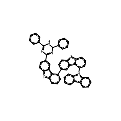 c1ccc(C2=NC(c3ccc4oc5cccc(-c6ccc7sc8cccc(-n9c%10ccccc%10c%10ccccc%109)c8c7c6)c5c4c3)=NC(c3ccccc3)N2)cc1